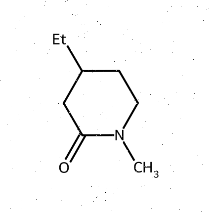 CCC1CCN(C)C(=O)C1